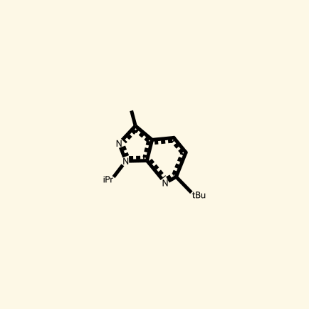 Cc1nn(C(C)C)c2nc(C(C)(C)C)ccc12